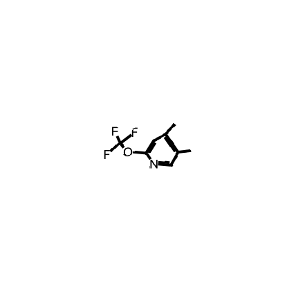 Cc1cnc(OC(F)(F)F)cc1C